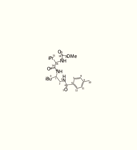 CCC(C)C(CNC(=O)c1ccc(C)cc1)NC(=O)C(NC(=O)OC)C(C)C